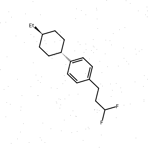 CC[C@H]1CC[C@H](c2ccc(CCC(F)F)cc2)CC1